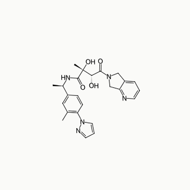 Cc1cc([C@@H](C)NC(=O)[C@](C)(O)[C@@H](O)C(=O)N2Cc3cccnc3C2)ccc1-n1cccn1